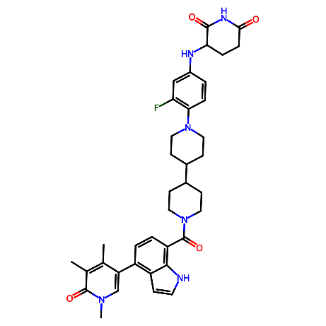 Cc1c(-c2ccc(C(=O)N3CCC(C4CCN(c5ccc(NC6CCC(=O)NC6=O)cc5F)CC4)CC3)c3[nH]ccc23)cn(C)c(=O)c1C